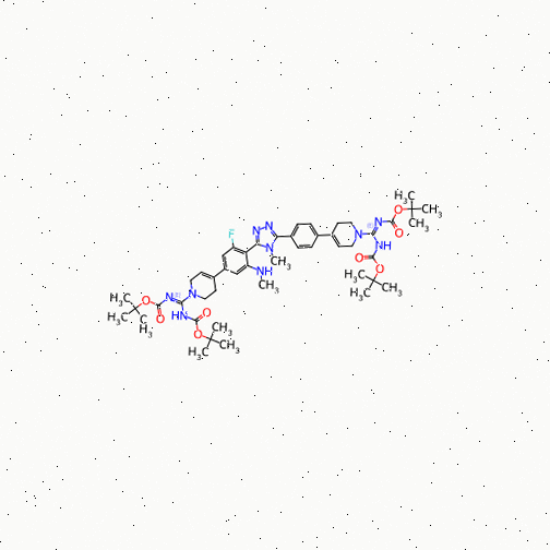 CNc1cc(C2=CCN(/C(=N/C(=O)OC(C)(C)C)NC(=O)OC(C)(C)C)CC2)cc(F)c1-c1nnc(-c2ccc(C3=CCN(/C(=N/C(=O)OC(C)(C)C)NC(=O)OC(C)(C)C)CC3)cc2)n1C